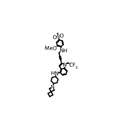 COc1cc(S(C)(=O)=O)ccc1NCC#Cc1cc2c(NC3CCC(N4CC5(CCC5)C4)CC3)cccc2n1CC(F)(F)F